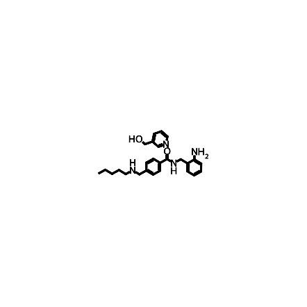 CCCCCNCc1ccc(C(=O)NCc2ccccc2N)cc1.OCc1cccnc1